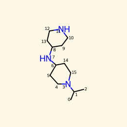 CC(C)N1CCC(NC2CCNCC2)CC1